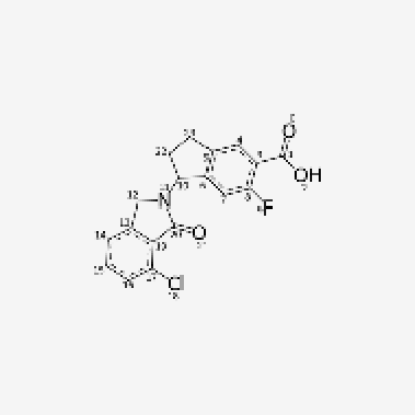 O=C(O)c1cc2c(cc1F)C(N1Cc3cccc(Cl)c3C1=O)CC2